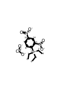 CC[P+](CC)(CC)c1ccc([N+](=O)[O-])cc1[N+](=O)[O-].[O-][Cl+][O-]